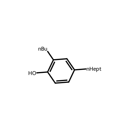 CCCCCCCc1ccc(O)c(CCCC)c1